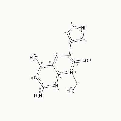 CCn1c(=O)c(-c2cn[nH]c2)cc2c(C)nc(N)nc21